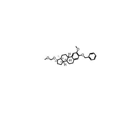 COCO[C@H]1CC[C@H]2[C@@H]3CCc4cc(OCc5ccccc5)c(OC)cc4[C@H]3CC[C@]12C